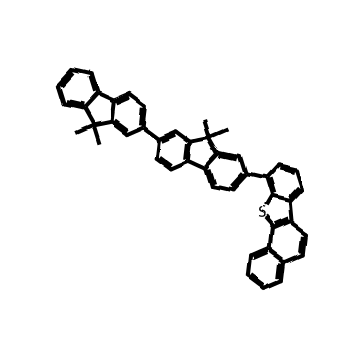 CC1(C)c2ccccc2-c2ccc(-c3ccc4c(c3)C(C)(C)c3cc(-c5cccc6c5sc5c7ccccc7ccc65)ccc3-4)cc21